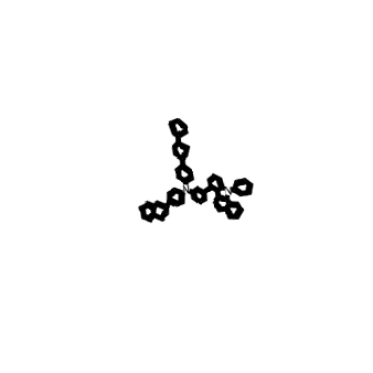 c1ccc(-c2ccc(-c3ccc(N(c4ccc(-c5ccc6ccccc6c5)cc4)c4cccc(-c5cccc6c5c5ccc7ccccc7c5n6-c5ccccc5)c4)cc3)cc2)cc1